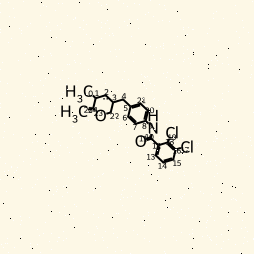 CC1[C]C(Cc2ccc(NC(=O)c3cccc(Cl)c3Cl)cc2)COC1C